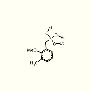 CCO[Si](Cc1cccc(C)c1OC)(OCC)OCC